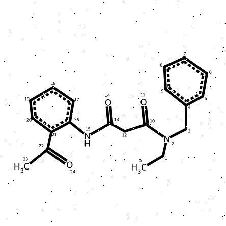 CCN(Cc1ccccc1)C(=O)CC(=O)Nc1c[c]ccc1C(C)=O